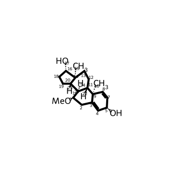 CO[C@H]1CC2=C[C@@H](O)C=C[C@]2(C)[C@H]2CC[C@]3(C)[C@@H](O)CC[C@H]3[C@H]12